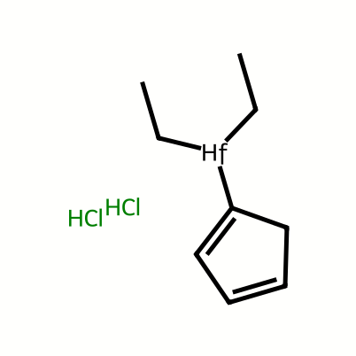 C[CH2][Hf]([CH2]C)[C]1=CC=CC1.Cl.Cl